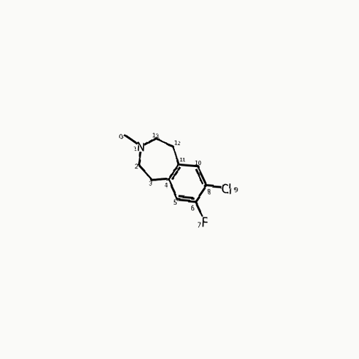 CN1CCc2cc(F)c(Cl)cc2CC1